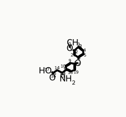 COc1cccc(Oc2ccc([C@@H](N)CC(=O)O)cc2)c1